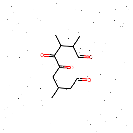 CC(CC=O)CC(=O)C(=O)C(C)C(C)C=O